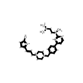 CN(C)CCN(C)c1nccc(-c2ccc(CN3CCN(CC=Cc4ccc(Cl)s4)CC3)cc2)n1